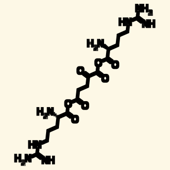 N=C(N)NCCC[C@H](N)C(=O)OC(=O)CCC(=O)C(=O)OC(=O)[C@@H](N)CCCNC(=N)N